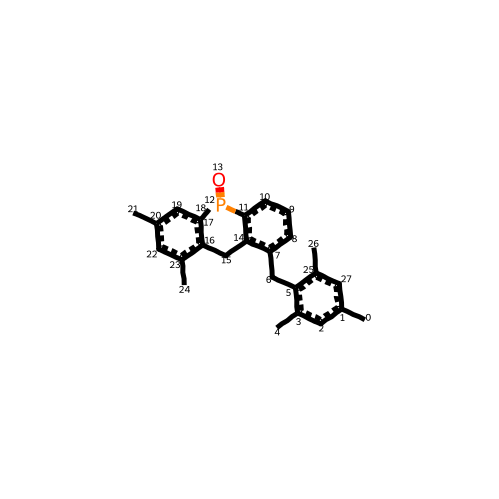 Cc1cc(C)c(Cc2cccc(P=O)c2Cc2c(C)cc(C)cc2C)c(C)c1